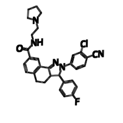 N#Cc1ccc(N2N=C3c4cc(C(=O)NCCN5CCCC5)ccc4CCC3C2c2ccc(F)cc2)cc1Cl